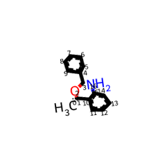 C[C](OCc1ccccc1)c1ccccc1N